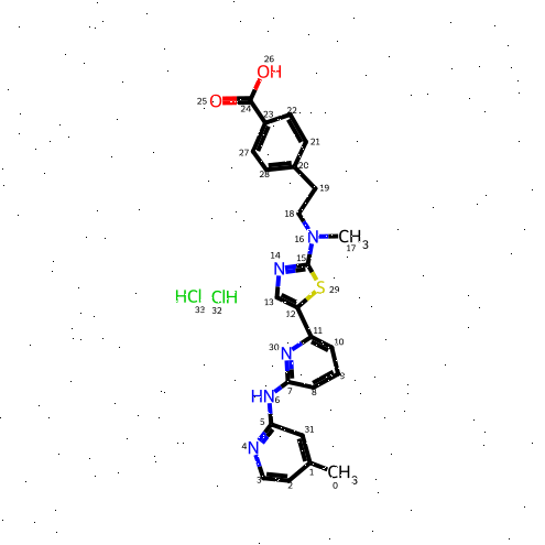 Cc1ccnc(Nc2cccc(-c3cnc(N(C)CCc4ccc(C(=O)O)cc4)s3)n2)c1.Cl.Cl